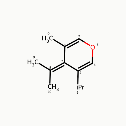 CC1=COC=C(C(C)C)C1=C(C)C